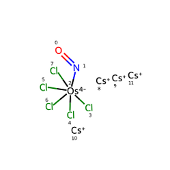 O=[N][Os-4]([Cl])([Cl])([Cl])([Cl])[Cl].[Cs+].[Cs+].[Cs+].[Cs+]